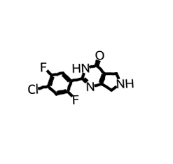 O=c1[nH]c(-c2cc(F)c(Cl)cc2F)nc2c1CNC2